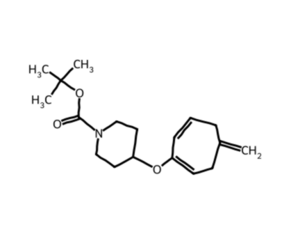 C=C1CC=CC(OC2CCN(C(=O)OC(C)(C)C)CC2)=CC1